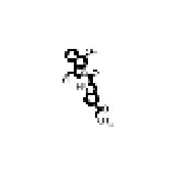 CCC(=O)c1ccc2[nH]c(C(=O)N3CC(CCl)c4c3cc(O)c3ccccc43)cc2c1